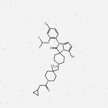 CC(C)c1ccnn1C1(C(=O)Nc2ccc(Cl)cc2OC(F)F)CCN(CC2(C(=O)O)CCN(C(=O)CC3CC3)CC2)CC1